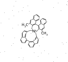 Cc1cc2ccccc2c2c1C[N+]1(Cc3ccc4cccc(c4c3)-c3cccc4ccc(cc34)C1)Cc1c(C)cc3ccccc3c1-2